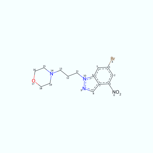 O=[N+]([O-])c1cc(Br)cc2c1cnn2CCCN1CCOCC1